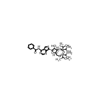 CC(C)[Si]1(C(C)C)OC[C@H]2O[C@@H](c3scc4c(NC(=O)c5ccccc5)ncnc34)[C@H](O)[C@@H]2O[Si](C(C)C)(C(C)C)O1